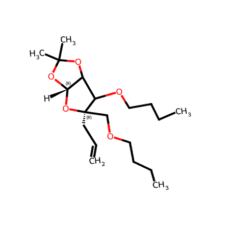 C=CC[C@]1(COCCCC)O[C@@H]2OC(C)(C)OC2C1OCCCC